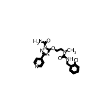 CN(CCOC1SC(c2ccncc2)=NN1C(N)=O)C(=O)NCc1ccccc1Cl